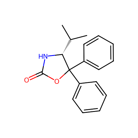 CC(C)[C@H]1NC(=O)OC1(c1ccccc1)c1ccccc1